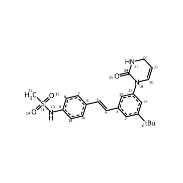 CC(C)(C)c1cc(C=Cc2ccc(NS(C)(=O)=O)cc2)cc(N2C=CCNC2=O)c1